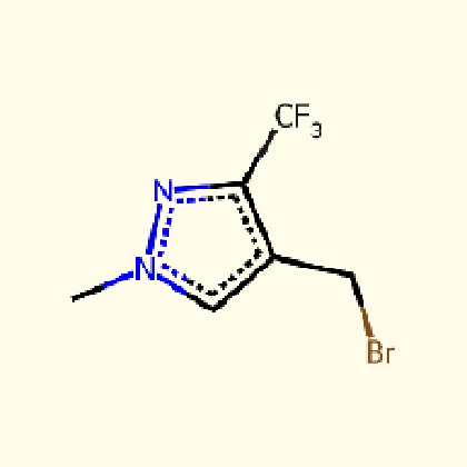 Cn1cc(CBr)c(C(F)(F)F)n1